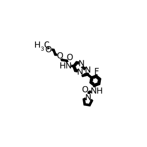 COCCOCC(=O)Nc1cnc2nc(-c3cc(NC(=O)N4CCCC4)ccc3F)cn2c1